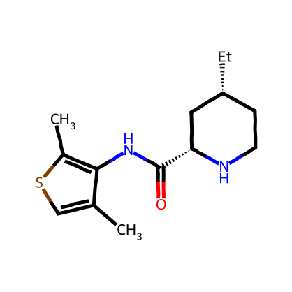 CC[C@@H]1CCN[C@H](C(=O)Nc2c(C)csc2C)C1